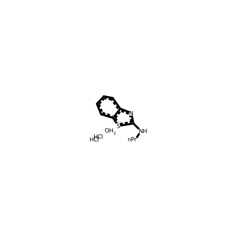 CCCNc1nc2ccccc2s1.Cl.Cl.O